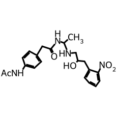 CC(=O)Nc1ccc(CC(=O)NC(C)NCC(O)Cc2ccccc2[N+](=O)[O-])cc1